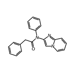 O=C(Cc1ccccc1)N(c1ccccc1)c1cn2ccccc2n1